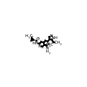 CC(C)c1[nH]ncc1-c1cc2cc(NC(=O)[C@@H]3C[C@H]3C)ncc2c(N)n1